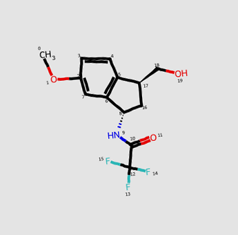 COc1ccc2c(c1)[C@@H](NC(=O)C(F)(F)F)C[C@@H]2CO